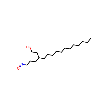 CCCCCCCCCCCCC(CCO)CCCN=O